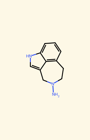 NN1CCc2cccc3[nH]cc(c23)C1